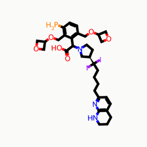 O=C(O)C(c1c(COC2COC2)ccc(P)c1COC1COC1)N1CC[C@@H](C(I)(I)CCCCc2ccc3c(n2)NCCC3)C1